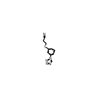 N#CCCSc1cccc(-n2cnnn2)c1